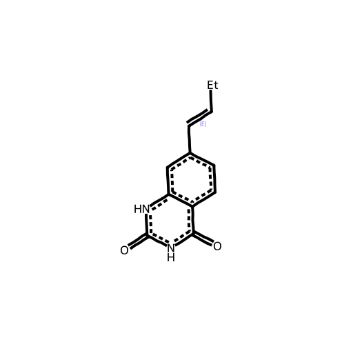 CC/C=C/c1ccc2c(=O)[nH]c(=O)[nH]c2c1